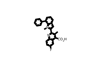 Cc1c(-c2cc3cccc(-c4ccccc4)c3n2C)nc2ccc(F)cc2c1C(=O)O